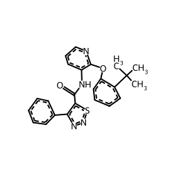 CC(C)(C)c1ccccc1Oc1ncccc1NC(=O)c1snnc1-c1ccccc1